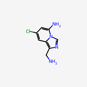 NCc1ncn2c(N)cc(Cl)cc12